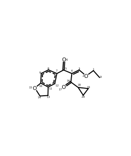 CCOC=C(C(=O)c1ccc2c(c1)CCO2)C(=O)C1CC1